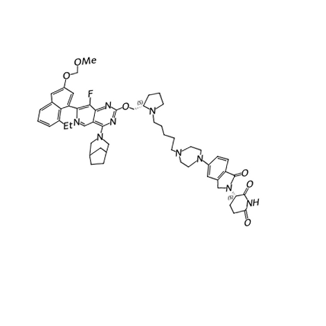 CCc1cccc2cc(OCOC)cc(-c3ncc4c(N5CC6CCC(C6)C5)nc(OC[C@@H]5CCCN5CCCCCN5CCN(c6ccc7c(c6)CN([C@H]6CCC(=O)NC6=O)C7=O)CC5)nc4c3F)c12